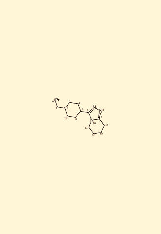 CC(C)CN1CCC(c2nnc3n2CCCC3)CC1